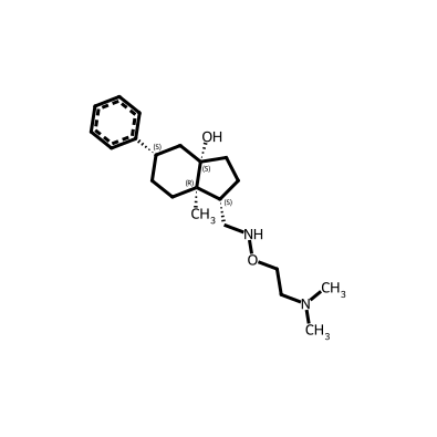 CN(C)CCONC[C@H]1CC[C@]2(O)C[C@@H](c3ccccc3)CC[C@]12C